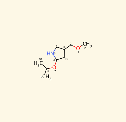 COCC1CNC(OC(C)C)C1